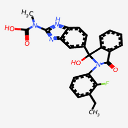 CCc1cccc(N2C(=O)c3ccccc3C2(O)c2ccc3[nH]c(N(C)C(=O)O)nc3c2)c1F